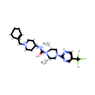 C[C@@H]1CN(c2ncc(C(F)(F)F)cn2)C[C@H](C)N1C(=O)NC1CCN(CC2=CCCCC2)CC1